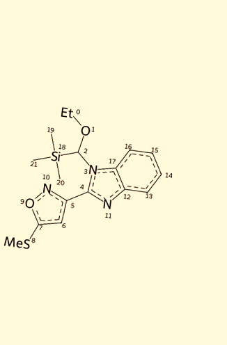 CCOC(n1c(-c2cc(SC)on2)nc2ccccc21)[Si](C)(C)C